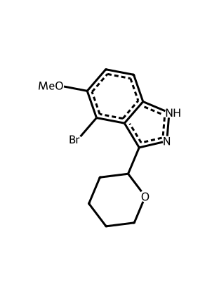 COc1ccc2[nH]nc(C3CCCCO3)c2c1Br